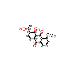 COc1cccc2c1C(=O)c1c(ccc(C(C)O)c1O)C2=O